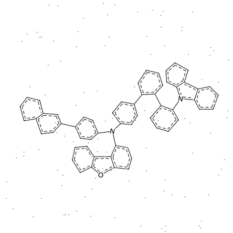 c1ccc(-c2ccccc2-n2c3ccccc3c3ccccc32)c(-c2ccc(N(c3ccc(-c4ccc5ccccc5c4)cc3)c3cccc4oc5ccccc5c34)cc2)c1